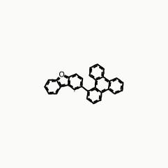 [c]1c(-c2cccc3c4ccccc4c4ccccc4c23)ccc2oc3ccccc3c12